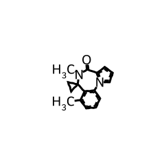 Cc1cccc2c1C1(CC1)N(C)C(=O)c1cccn1-2